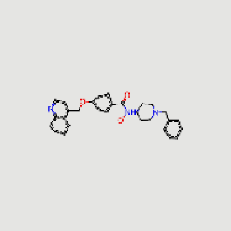 O=C(c1ccc(OCc2ccnc3ccccc23)cc1)[NH+]([O-])C1CCN(Cc2ccccc2)CC1